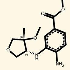 COC(=O)c1ccc(N)c(N[C@@H]2COC[C@]2(C)OC)c1